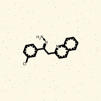 NN=C(Cc1ccc2ccccc2n1)c1cccc(Cl)c1